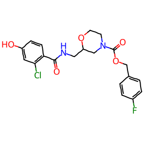 O=C(NCC1CN(C(=O)OCc2ccc(F)cc2)CCO1)c1ccc(O)cc1Cl